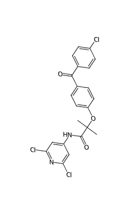 CC(C)(Oc1ccc(C(=O)c2ccc(Cl)cc2)cc1)C(=O)Nc1cc(Cl)nc(Cl)c1